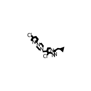 Clc1ccc(N2CCN(Cc3ccn4c(CC5CC5)nnc4c3Cl)CC2)nc1